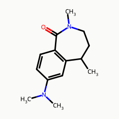 CC1CCN(C)C(=O)c2ccc(N(C)C)cc21